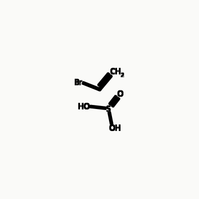 C=CBr.O=S(O)O